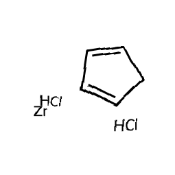 C1=CCC=C1.Cl.Cl.[Zr]